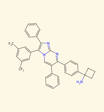 NC1(c2ccc(-c3nc4nc(-c5ccccc5)c(-c5cc(C(F)(F)F)cc(C(F)(F)F)c5)n4cc3-c3ccccc3)cc2)CCC1